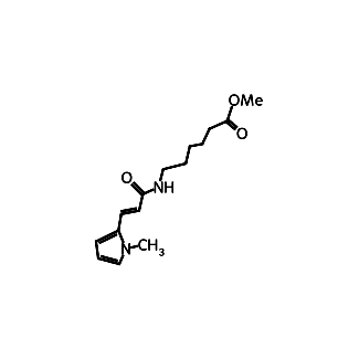 COC(=O)CCCCCNC(=O)C=Cc1cccn1C